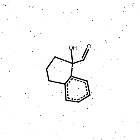 O=CC1(O)CCCc2ccccc21